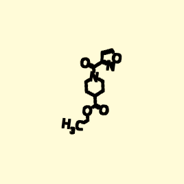 CCOC(=O)C1CCN(C(=O)c2ccon2)CC1